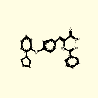 O=C(O)C(=Cc1ccc(Oc2ccccc2C2CCCC2)cc1)NC(=O)c1ccccc1